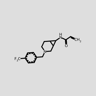 C=CC(=O)NC1C2CCN(Cc3ccc(C(F)(F)F)cc3)CC21